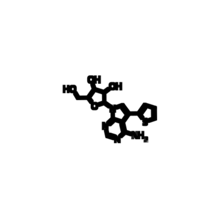 Nc1ncnc2c1c(-c1cccs1)cn2C1OC(CO)C(O)C1O